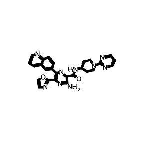 Nc1nc(-c2ncco2)c(-c2ccc3ncccc3c2)nc1C(=O)NC1CCN(c2ncccn2)CC1